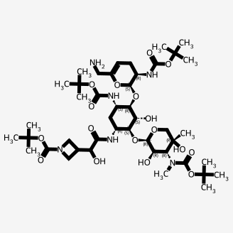 CN(C(=O)OC(C)(C)C)[C@@H]1[C@@H](O)[C@@H](O[C@@H]2[C@@H](O)[C@H](O[C@H]3OC(CN)=CC[C@H]3NC(=O)OC(C)(C)C)[C@@H](NC(=O)OC(C)(C)C)C[C@H]2NC(=O)C(O)C2CN(C(=O)OC(C)(C)C)C2)OC[C@]1(C)O